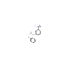 CCN(Cc1ccccc1)C(C)Cc1cccc(C2(NC(C)C)CC2)c1